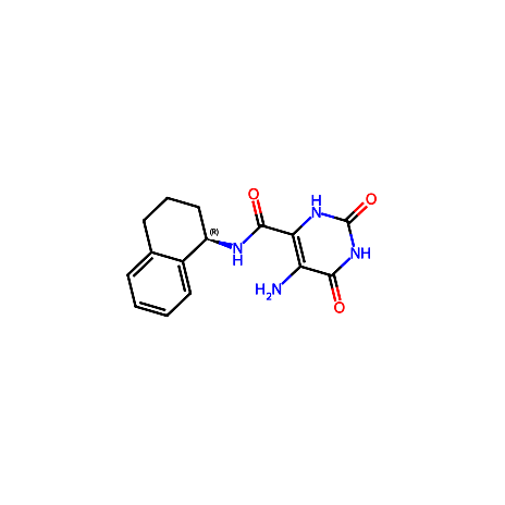 Nc1c(C(=O)N[C@@H]2CCCc3ccccc32)[nH]c(=O)[nH]c1=O